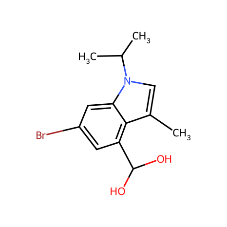 Cc1cn(C(C)C)c2cc(Br)cc(C(O)O)c12